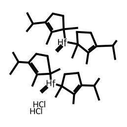 Cl.Cl.[CH2]=[Hf]([C]1(C)CCC(C(C)C)=C1C)[C]1(C)CCC(C(C)C)=C1C.[CH2]=[Hf]([C]1(C)CCC(C(C)C)=C1C)[C]1(C)CCC(C(C)C)=C1C